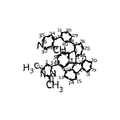 Cc1cc(-c2ccc3c(c2)C2(c4ccccc4-c4ccccc42)c2cccc(-c4cccc(-c5ccncc5C)c4)c2-3)nc(C)n1